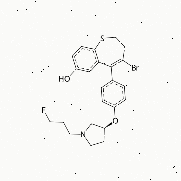 Oc1ccc2c(c1)C(c1ccc(O[C@H]3CCN(CCCF)C3)cc1)=C(Br)CCS2